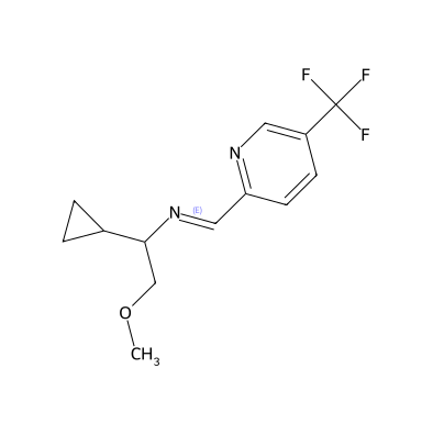 COCC(/N=C/c1ccc(C(F)(F)F)cn1)C1CC1